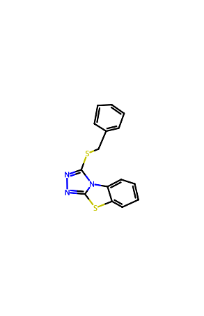 c1ccc(CSc2nnc3sc4ccccc4n23)cc1